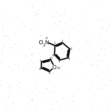 O=[N+]([O-])c1ccccc1.c1ccoc1